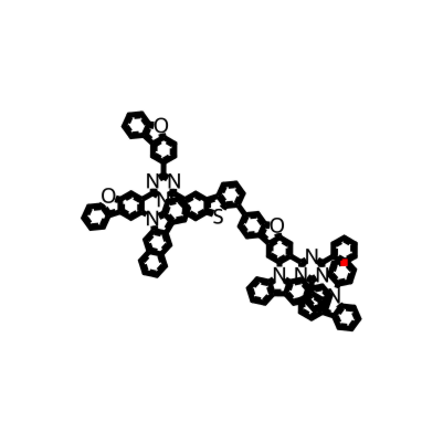 c1ccc(-c2nc(-c3cc4oc5cc(-c6cccc7c6sc6ccc(-c8nc(-c9ccc%10oc%11ccccc%11c%10c9)nc(-c9cc%10oc%11ccccc%11c%10cc9-n9c%10ccccc%10c%10cc%11ccccc%11cc%109)n8)cc67)ccc5c4cc3-n3c4ccccc4c4cc5ccccc5cc43)nc(-c3cccc4c5ccccc5n(-c5ccccc5)c34)n2)cc1